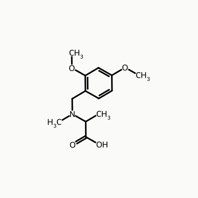 COc1ccc(CN(C)C(C)C(=O)O)c(OC)c1